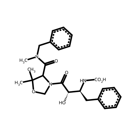 CN(Cc1ccccc1)C(=O)C1N(C(=O)[C@@H](O)[C@H](Cc2ccccc2)NC(=O)O)COC1(C)C